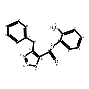 Cc1ccccc1OC(=O)c1snnc1Cc1ccccc1